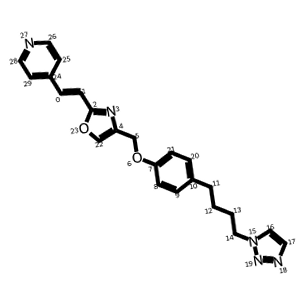 C(=C\c1nc(COc2ccc(CCCCn3ccnn3)cc2)co1)/c1ccncc1